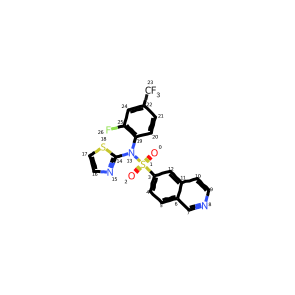 O=S(=O)(c1ccc2cnccc2c1)N(c1nccs1)c1ccc(C(F)(F)F)cc1F